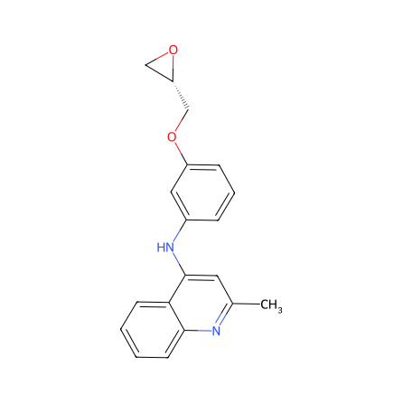 Cc1cc(Nc2cccc(OC[C@@H]3CO3)c2)c2ccccc2n1